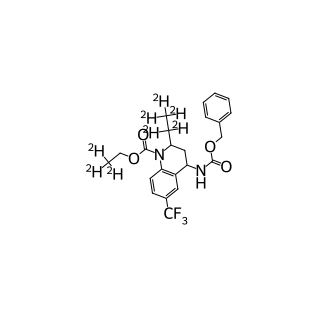 [2H]C([2H])([2H])COC(=O)N1c2ccc(C(F)(F)F)cc2C(NC(=O)OCc2ccccc2)CC1C([2H])([2H])C([2H])([2H])[2H]